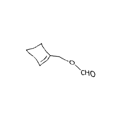 O=COC1=CCC1